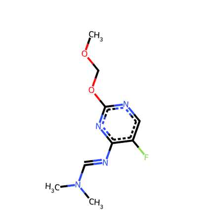 COCOc1ncc(F)c(N=CN(C)C)n1